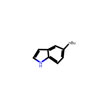 CCCCc1ccc2[nH]ccc2c1